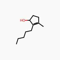 CCCCCC1=C(C)CCC1O